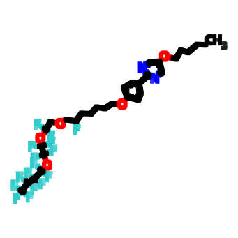 CCCCCCOc1cnc(-c2ccc(OCCCCCC(F)COCC(F)(F)OC(F)(F)C(F)(F)OC(F)(F)C(F)(F)C(F)(F)C(F)(F)F)cc2)nc1